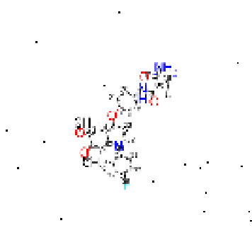 COC1=CC2=C(Oc3ccc(NC(=O)C4(C(N)=O)CC4)cc3)C=CN(c3ccc(F)cc3)C2C=C1OC